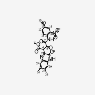 COC(=O)C(C(=O)C(=O)Nc1ccc(OC)cc1[N+](=O)[O-])c1nc2cc(C)c(C)cc2[nH]c1=O